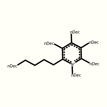 CCCCCCCCCCCCCCc1c(CCCCCCCCCC)c(CCCCCCCCCC)c(CCCCCCCCCC)c(CCCCCCCCCC)[n+]1CCCCCCCCCC